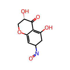 O=NC1C=C2OC[C@H](O)C(=O)C2=C(O)C1